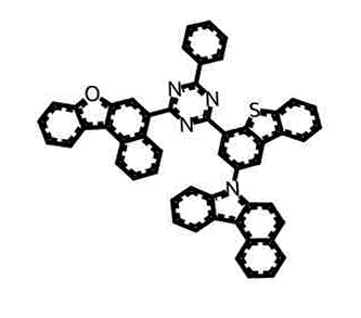 c1ccc(-c2nc(-c3cc4oc5ccccc5c4c4ccccc34)nc(-c3cc(-n4c5ccccc5c5c6ccccc6ccc54)cc4c3sc3ccccc34)n2)cc1